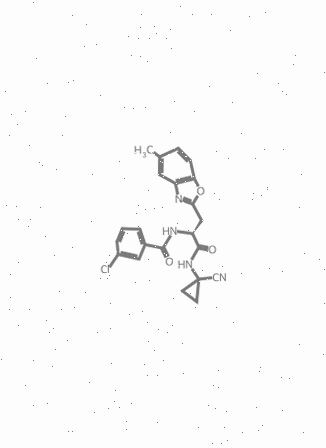 Cc1ccc2oc(C[C@H](NC(=O)c3cccc(Cl)c3)C(=O)NC3(C#N)CC3)nc2c1